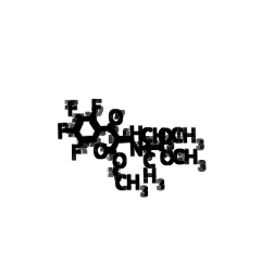 CCOC(=O)/C(=C\NC(C)(C)C(OC)OC)C(=O)c1cc(F)c(F)c(F)c1F